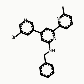 Cc1cccc(-c2cc(-c3cncc(Br)c3)cc(NCc3ccccc3)n2)n1